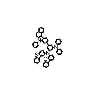 c1ccc(N(c2ccccc2)c2cc(-c3ccc4c5c6ccccc6ccc5n(-c5ccccc5)c4c3)cc(N(c3ccc4sc5ccccc5c4c3)c3cccc4c3oc3ccccc34)c2)cc1